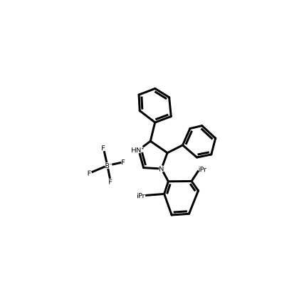 CC(C)c1cccc(C(C)C)c1N1C=[NH+]C(c2ccccc2)C1c1ccccc1.F[B-](F)(F)F